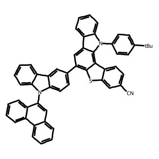 CC(C)(C)c1ccc(-n2c3ccccc3c3cc(-c4ccc5c(c4)c4ccccc4n5-c4cc5ccccc5c5ccccc45)c4sc5cc(C#N)ccc5c4c32)cc1